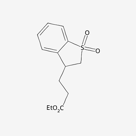 CCOC(=O)CCC1CS(=O)(=O)c2ccccc21